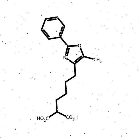 Cc1oc(-c2ccccc2)nc1CCCCC(C(=O)O)C(=O)O